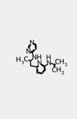 C=C(C)Nc1cccc(CC(C)Nc2ccncn2)n1